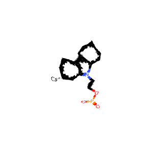 O=[PH]([O-])OCCn1c2ccccc2c2ccccc21.[Cs+]